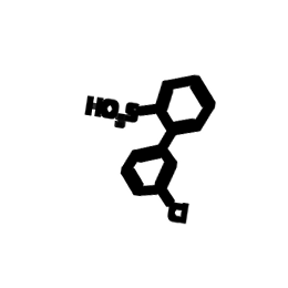 O=S(=O)(O)c1ccccc1-c1cccc(Cl)c1